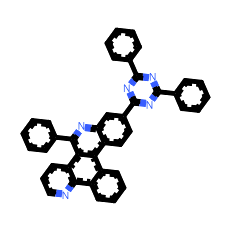 c1ccc(-c2nc(-c3ccccc3)nc(-c3ccc4c(c3)nc(-c3ccccc3)c3c5cccnc5c5ccccc5c43)n2)cc1